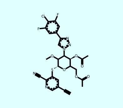 C#Cc1cnc(C#N)c(S[C@H]2OC(COC(C)=O)[C@H](OC(C)=O)C(n3cc(-c4cc(F)c(Cl)c(F)c4)nn3)C2OC)c1